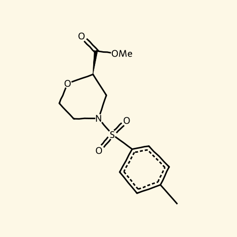 COC(=O)[C@H]1CN(S(=O)(=O)c2ccc(C)cc2)CCO1